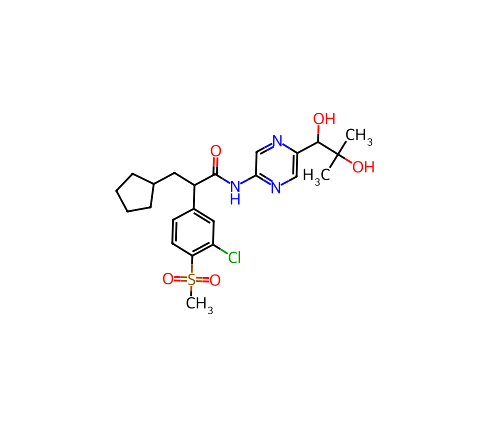 CC(C)(O)C(O)c1cnc(NC(=O)C(CC2CCCC2)c2ccc(S(C)(=O)=O)c(Cl)c2)cn1